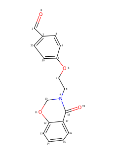 O=Cc1ccc(OCCN2COc3ccccc3C2=O)cc1